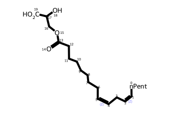 CCCCC/C=C\C/C=C\CCCCCCCC(=O)OCC(O)C(=O)O